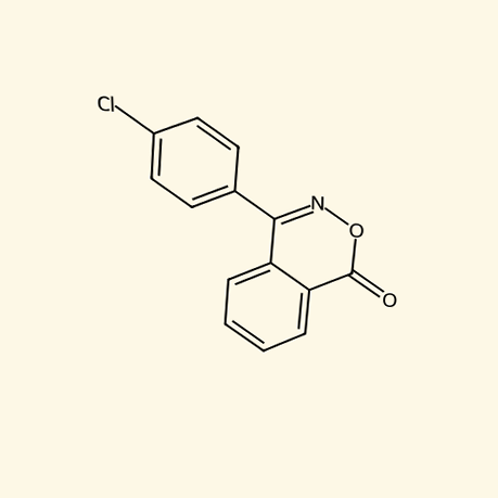 O=c1onc(-c2ccc(Cl)cc2)c2ccccc12